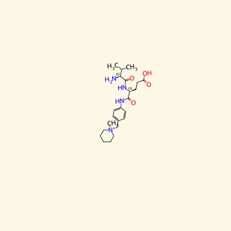 CC(C)[C@H](N)C(=O)N[C@@H](CCC(=O)O)C(=O)Nc1ccc(C[N+]2(C)CCCCC2)cc1